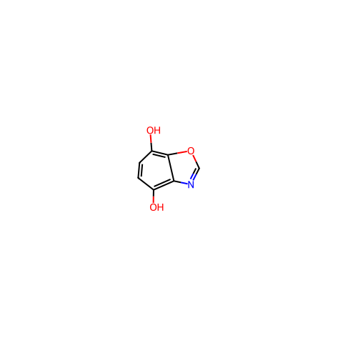 Oc1ccc(O)c2ocnc12